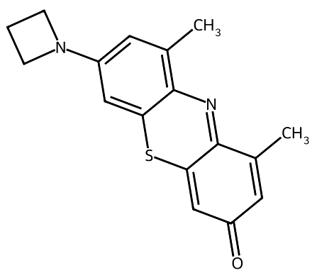 Cc1cc(=O)cc2sc3cc(N4CCC4)cc(C)c3nc1-2